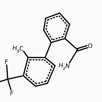 Cc1c(-c2ccccc2C(N)=O)cccc1C(F)(F)F